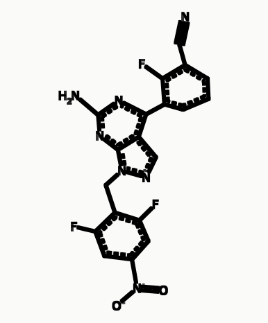 N#Cc1cccc(-c2nc(N)nc3c2cnn3Cc2c(F)cc([N+](=O)[O-])cc2F)c1F